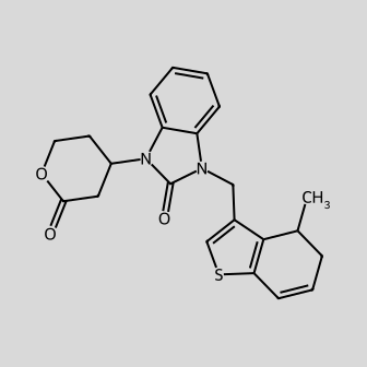 CC1CC=Cc2scc(Cn3c(=O)n(C4CCOC(=O)C4)c4ccccc43)c21